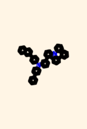 c1ccc(-c2ccc(N(c3ccc(-c4ccc5ccccc5c4)cc3)c3cccc(-c4cccc5c4c4cccc(-c6ccccc6)c4n5-c4ccccc4)c3)cc2)cc1